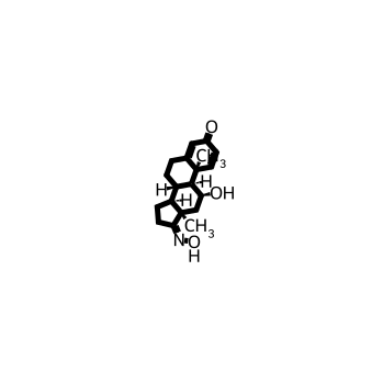 C[C@]12C=CC(=O)C=C1CC[C@@H]1[C@@H]2[C@@H](O)C[C@]2(C)/C(=N\O)CC[C@@H]12